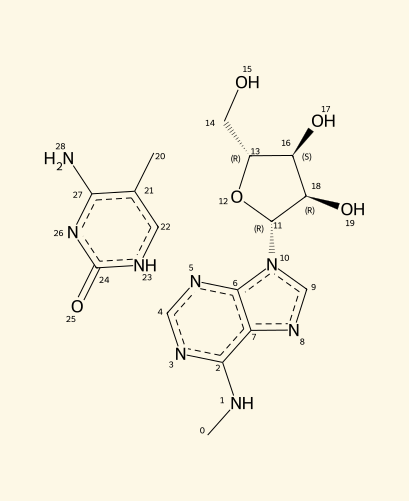 CNc1ncnc2c1ncn2[C@@H]1O[C@H](CO)[C@@H](O)[C@H]1O.Cc1c[nH]c(=O)nc1N